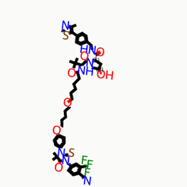 Cc1ncsc1-c1ccc(CNC(=O)[C@@H]2C[C@@H](O)CN2C(=O)C(NC(=O)CCCCCOCCCCCOc2ccc(N3C(=S)N(c4ccc(C#N)c(C(F)(F)F)c4)C(=O)C3(C)C)cc2)C(C)(C)C)cc1